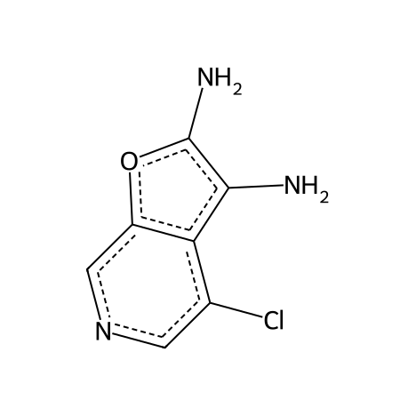 Nc1oc2cncc(Cl)c2c1N